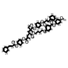 CCC(C)(CC(CC(C)C(=O)Oc1ccc(OC(=O)/C=C/c2ccccc2)cc1)C(=O)OCCCCOc1ccc(C(=O)Oc2ccc(OC)cc2)cc1)C(=O)Oc1ccc(OC(=O)/C=C/c2ccccc2)cc1